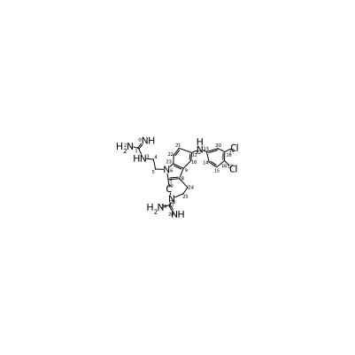 N=C(N)NCCn1c2c(c3cc(Nc4ccc(Cl)c(Cl)c4)ccc31)CCN(C(=N)N)C2